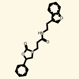 O=C(CCN1CC(c2ccccc2)OC1=O)N[CH]Cc1coc2ccccc12